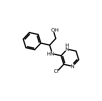 OCC(NC1=C(Cl)N=CCN1)c1ccccc1